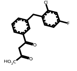 O=C(O)C(=O)CC(=O)c1cccc(Cc2ccc(F)cc2Cl)c1